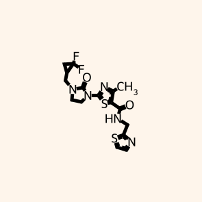 Cc1nc(N2CCN(CC3CC3(F)F)C2=O)sc1C(=O)NCc1nccs1